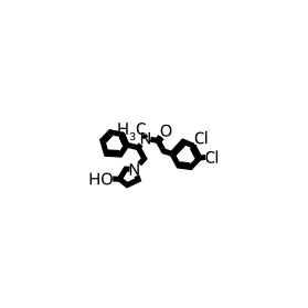 CN(C(=O)Cc1ccc(Cl)c(Cl)c1)C(CN1CCC(O)C1)c1ccccc1